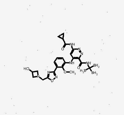 BC(B)(B)NC(=O)c1nnc(NC(=O)C2CC2)cc1Nc1cccc(-c2noc(CN3CC(O)C3)n2)c1OC